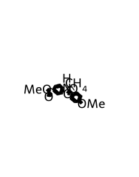 C.COc1ccc(S(=O)(=O)Nc2ccc(S(=O)OC)cc2)cc1